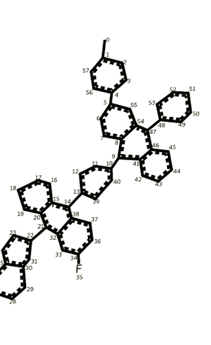 Cc1ccc(-c2ccc3c(-c4ccc(-c5c6ccccc6c(-c6ccc7ccccc7c6)c6cc(F)ccc56)cc4)c4ccccc4c(-c4ccccc4)c3c2)cc1